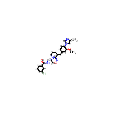 COc1cc(/C=C2\CCCN3C2=NOC[C@@H]3CNC(=O)c2cccc(Cl)c2)ccc1-n1cnc(C)c1